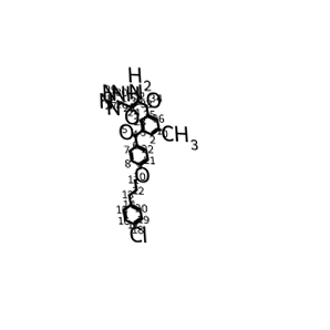 Cc1cc(C(=O)c2ccc(OCCCc3ccc(Cl)cc3)cc2)c2oc(-c3nnn[nH]3)c(N)c(=O)c2c1